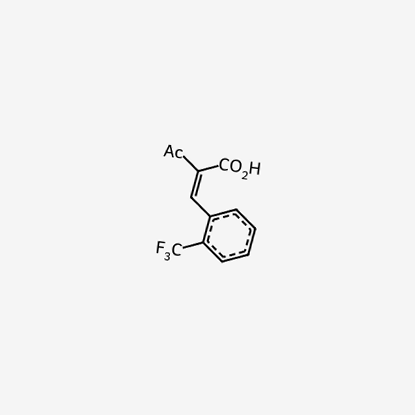 CC(=O)C(=Cc1ccccc1C(F)(F)F)C(=O)O